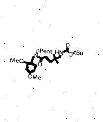 CCCCCN(Cc1ccc(OC)cc1OC)C(=O)C=CC(C)(C)CNC(=O)OC(C)(C)C